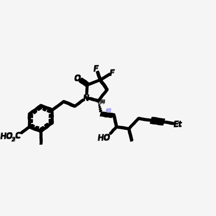 CCC#CCC(C)C(O)/C=C/[C@H]1CC(F)(F)C(=O)N1CCc1ccc(C(=O)O)c(C)c1